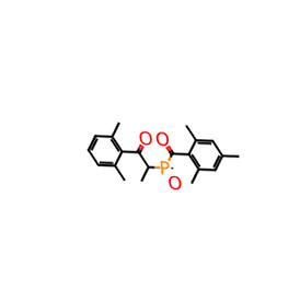 Cc1cc(C)c(C(=O)[P](=O)C(C)C(=O)c2c(C)cccc2C)c(C)c1